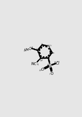 COc1cncc(S(=O)(=O)Cl)c1C#N